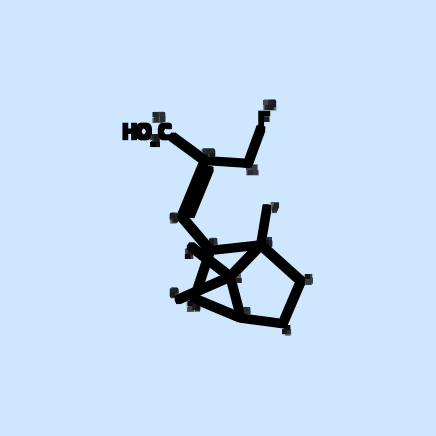 CC1(C)C2CCC1(C)C(C=C(CF)C(=O)O)C2